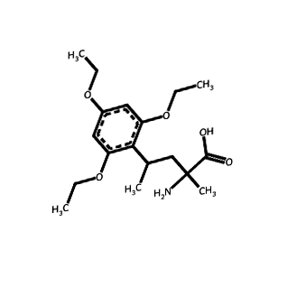 CCOc1cc(OCC)c(C(C)CC(C)(N)C(=O)O)c(OCC)c1